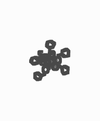 O=S(=S)(OC1O[C@H](COCc2ccccc2)[C@@H](OCc2ccccc2)[C@H](OCc2ccccc2)[C@H]1OCc1ccccc1)c1ccccc1